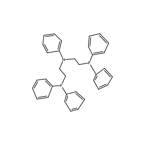 c1ccc(N(CCP(c2ccccc2)c2ccccc2)CCP(c2ccccc2)c2ccccc2)cc1